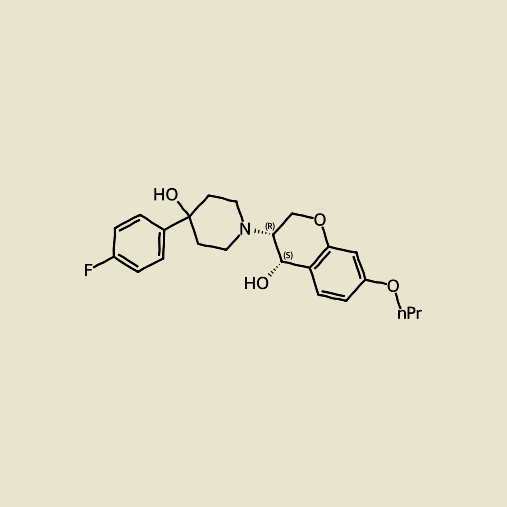 CCCOc1ccc2c(c1)OC[C@@H](N1CCC(O)(c3ccc(F)cc3)CC1)[C@H]2O